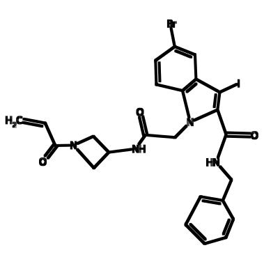 C=CC(=O)N1CC(NC(=O)Cn2c(C(=O)NCc3ccccc3)c(I)c3cc(Br)ccc32)C1